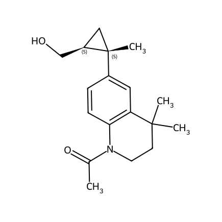 CC(=O)N1CCC(C)(C)c2cc([C@@]3(C)C[C@@H]3CO)ccc21